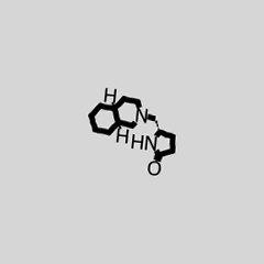 O=C1CC[C@@H](CN2CC[C@@H]3CCCC[C@@H]3C2)N1